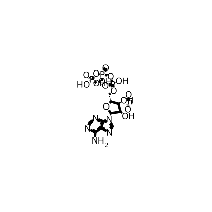 Nc1ncnc2c1ncn2[C@@H]1O[C@H](COP(=O)(O)OP(=O)(O)OP(=O)(O)O)[C@@H](O)[C@H]1O.[O]=[Ti]=[O]